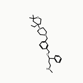 CC[C@]1(N2CCN(Cc3cccc(COC(CCNC)c4ccccc4)c3)CC2)CCOC(C)(C)C1